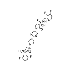 N[C@H]1C[C@@H](N2CCN(c3ncc(N4CCC(O)(C(=O)NCc5cccc(F)c5F)C4=O)cn3)CC2)CO[C@@H]1c1cc(F)ccc1F